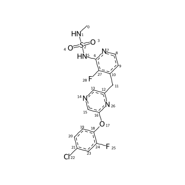 CNS(=O)(=O)Nc1nccc(Cc2cncc(Oc3ccc(Cl)cc3F)n2)c1F